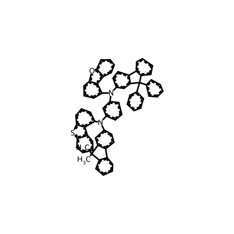 CC1(C)c2ccccc2-c2ccc(N(c3cccc(N(c4ccc5c(c4)C(c4ccccc4)(c4ccccc4)c4ccccc4-5)c4cccc5oc6ccccc6c45)c3)c3cccc4sc5ccccc5c34)cc21